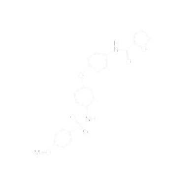 COc1ccc(S(=O)(=O)Nc2ccc(Oc3ccc(NC(=O)c4ccco4)cc3)cc2)cc1